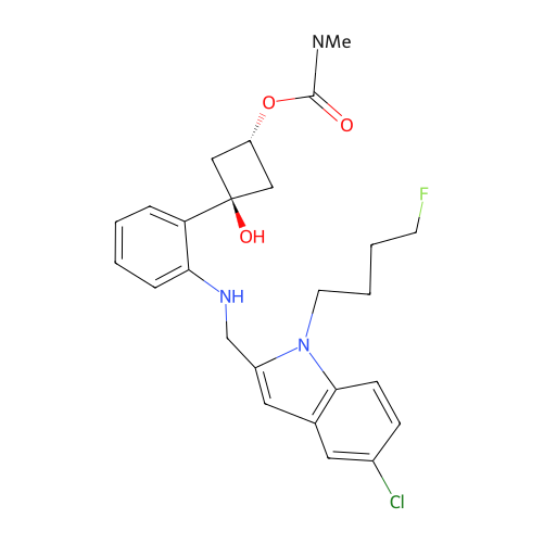 CNC(=O)O[C@H]1C[C@@](O)(c2ccccc2NCc2cc3cc(Cl)ccc3n2CCCCF)C1